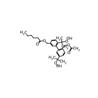 CCCCCC(=O)OCc1ccc(C(C)(C)OO)c(-c2cc(C(C)(C)OO)ccc2COC(C)=O)c1